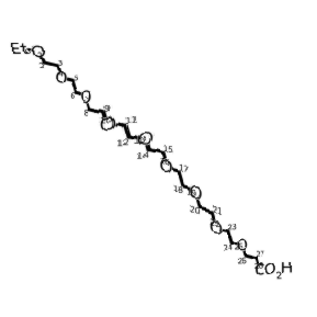 CCOCCOCCOCCOCCOCCOCCOCCOCCOCCC(=O)O